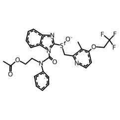 CC(=O)OCCN(C(=O)n1c([S+]([O-])Cc2nccc(OCC(F)(F)F)c2C)nc2ccccc21)c1ccccc1